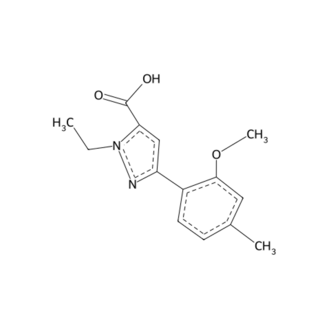 CCn1nc(-c2ccc(C)cc2OC)cc1C(=O)O